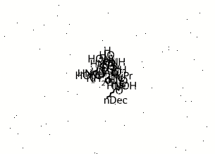 CCCCCCCCCCCCCCCC(=O)N[C@H](C(=O)N[C@H](C(=O)N[C@@H](Cc1ccccc1)C(=O)N[C@@H](C)C(=O)N[C@@H](CO)C(=O)N[C@@H](CO)C(=O)N[C@@H](CCCNC(=N)N)C(=O)N[C@@H](CCC(=O)O)C(C)=O)C(C)C)[C@@H](C)O